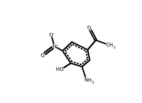 CC(=O)c1cc(N)c(O)c([N+](=O)[O-])c1